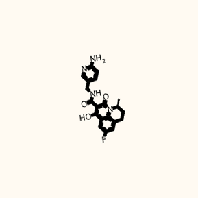 C[C@H]1CCc2cc(F)cc3c(O)c(C(=O)NCc4ccc(N)nc4)c(=O)n1c23